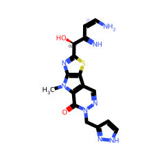 Cn1c2nc([C@@H](O)C(=N)/C=C\N)sc2c2cnn(Cc3cc[nH]n3)c(=O)c21